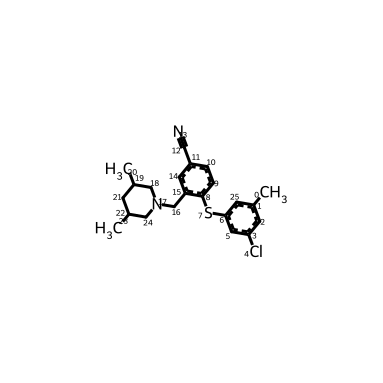 Cc1cc(Cl)cc(Sc2ccc(C#N)cc2CN2CC(C)CC(C)C2)c1